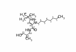 CCCCCCCCn1nc(C(C)(C)C)cc1C(=O)NCC(C)CO